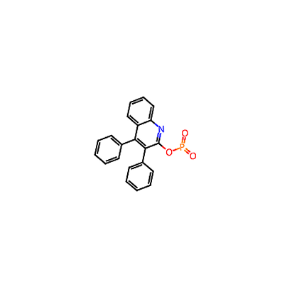 O=P(=O)Oc1nc2ccccc2c(-c2ccccc2)c1-c1ccccc1